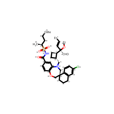 CC/C=C/[C@@](C=O)(OCC)[C@@H]1CC[C@H]1CN1C[C@@]2(CCCc3cc(Cl)ccc32)COc2ccc(C(=O)NS(=O)(=O)[C@@H](C)CCOC)cc21